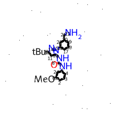 COc1cccc(NC(=O)Nc2cc(C(C)(C)C)nn2-c2cccc(CN)c2)c1